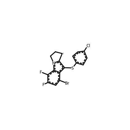 Fc1cc(Br)c2c(Sc3ccc(Cl)cc3)c3n(c2c1F)CC[C]3